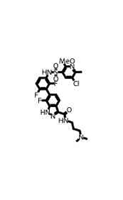 COc1nc(C)c(Cl)cc1S(=O)(=O)Nc1ccc(F)c(-c2ccc3c(C(=O)NCCCN(C)C)n[nH]c3c2F)c1F